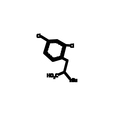 CCCCC(Cc1ccc(Cl)cc1Cl)C(=O)O